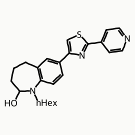 CCCCCCN1c2ccc(-c3csc(-c4ccncc4)n3)cc2CCCC1O